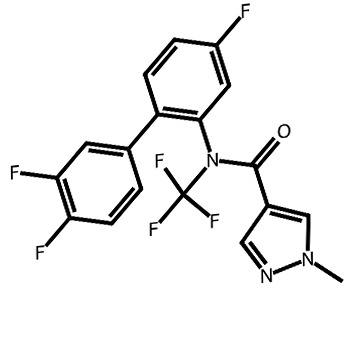 Cn1cc(C(=O)N(c2cc(F)ccc2-c2ccc(F)c(F)c2)C(F)(F)F)cn1